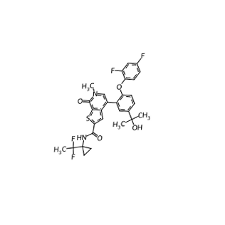 Cn1cc(-c2cc(C(C)(C)O)ccc2Oc2ccc(F)cc2F)c2cc(C(=O)NC3(C(C)(F)F)CC3)sc2c1=O